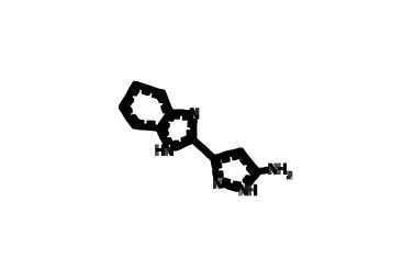 Nc1cc(-c2nc3ccccc3[nH]2)n[nH]1